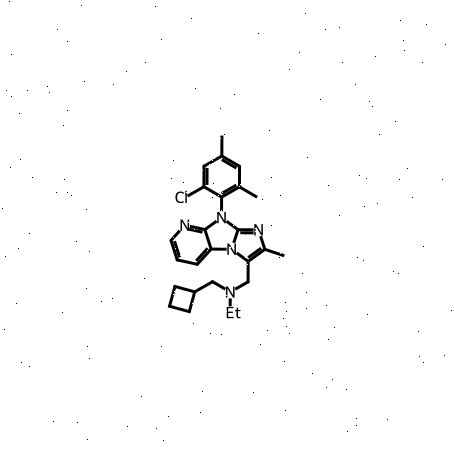 CCN(Cc1c(C)nc2n(-c3c(C)cc(C)cc3Cl)c3ncccc3n12)CC1CCC1